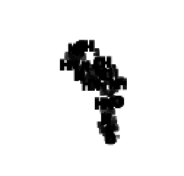 CC1NC=C(C(=O)NCCN2CC[S+]([O-])CC2)C=C1NC1NN(C)c2nc(Nc3cnn(C)c3)ncc21